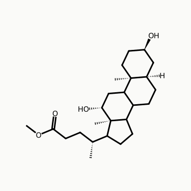 COC(=O)CC[C@@H](C)C1CCC2C3CC[C@@H]4C[C@H](O)CC[C@]4(C)C3C[C@@H](O)[C@@]21C